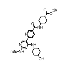 CCCCNc1ncc(-c2ccc(C(=O)NC3CCN(C(=O)OC(C)(C)C)CC3)cn2)c(N[C@H]2CC[C@H](O)CC2)n1